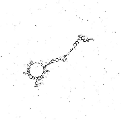 CO[C@H]1C[C@@H]2CC[C@@H](C)[C@@](O)(O2)C(=O)C(=O)N2CCCC[C@H]2C(=O)O[C@H]([C@H](N)C[C@@H]2CC[C@@H](O)[C@H](OC)C2)C[C@@H](O)[C@H](C)/C=C(\C)[C@@H](O)[C@@H](OC)/C(=N/OCC(=O)NCc2cnc(N3CCN(C(=O)CN(C)CC(=O)NCCOCCOCCC(=O)N4CCc5cc(Cn6nc(-c7ccc8oc(N)nc8c7)c7c(N)ncnc76)ccc5C4)CC3)nc2)[C@H](C)C[C@H](C)/C=C/C=C/C=C/1C